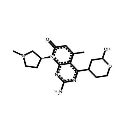 Cc1cc(=O)n([C@H]2CCN(C)C2)c2nc(N)nc(C3CCOC(O)C3)c12